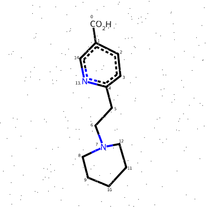 O=C(O)c1ccc(CCN2CCCCC2)nc1